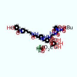 CC(C)(C)OC(=O)NC[C@@H](C(=O)NCCC(=O)Nc1cc(C[n+]2cccc(/C=C/C(=O)NCCCCC3CCN(C(=O)c4cccc(O)c4)CC3)c2)ccc1O[C@@H]1O[C@H](C(=O)O)[C@@H](O)[C@H](O)[C@H]1O)N1C(=O)C=CC1=O.O=C([O-])C(F)(F)F